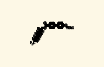 CCCCCCCCOc1ccc(-c2ccc(C(=O)OCC(F)(F)C(F)(F)C(F)(F)C(F)(F)C(F)(F)C(F)(F)F)cc2)cc1